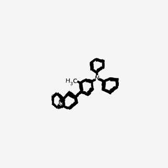 Cc1cc(N(c2ccccc2)c2ccccc2)ccc1-c1ccc2c(c1)C1CCC2CC1